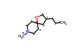 CCCC1COC2(CCN(C)CC2)C1